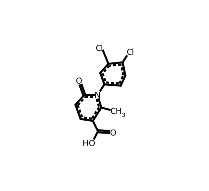 Cc1c(C(=O)O)ccc(=O)n1-c1ccc(Cl)c(Cl)c1